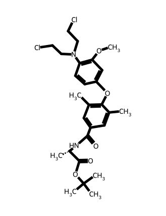 COc1cc(Oc2c(C)cc(C(=O)N[C@@H](C)C(=O)OC(C)(C)C)cc2C)ccc1N(CCCl)CCCl